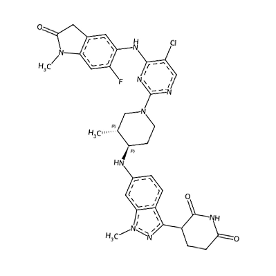 C[C@@H]1CN(c2ncc(Cl)c(Nc3cc4c(cc3F)N(C)C(=O)C4)n2)CC[C@H]1Nc1ccc2c(C3CCC(=O)NC3=O)nn(C)c2c1